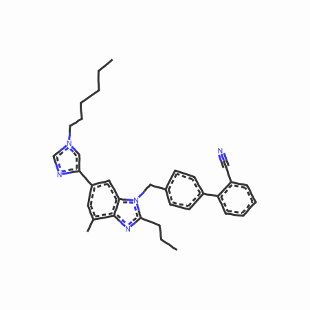 CCCCCCn1cnc(-c2cc(C)c3nc(CCC)n(Cc4ccc(-c5ccccc5C#N)cc4)c3c2)c1